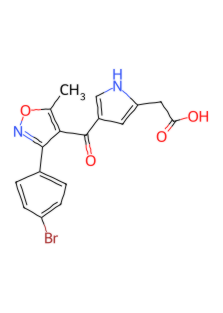 Cc1onc(-c2ccc(Br)cc2)c1C(=O)c1c[nH]c(CC(=O)O)c1